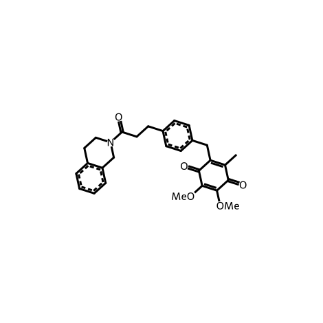 COC1=C(OC)C(=O)C(Cc2ccc(CCC(=O)N3CCc4ccccc4C3)cc2)=C(C)C1=O